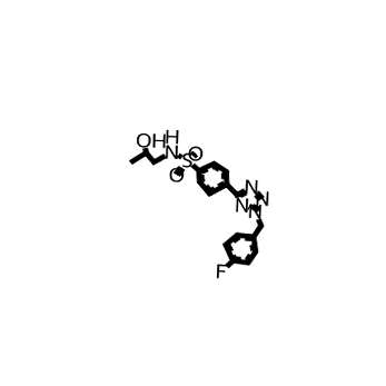 CC(O)CNS(=O)(=O)c1ccc(-c2nnn(Cc3ccc(F)cc3)n2)cc1